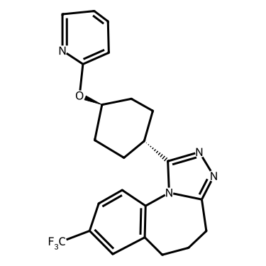 FC(F)(F)c1ccc2c(c1)CCCc1nnc([C@H]3CC[C@H](Oc4ccccn4)CC3)n1-2